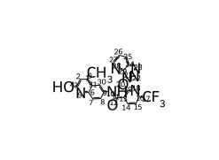 Cc1cc(O)nc2ccc(NC(=O)c3ccc(C(F)(F)F)nc3On3nnc4cccnc43)cc12